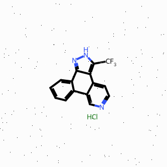 Cl.FC(F)(F)c1[nH]nc2c3ccccc3c3cnccc3c12